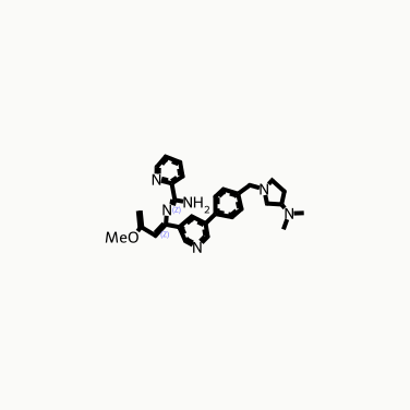 C=C(/C=C(\N=C(/N)c1ccccn1)c1cncc(-c2ccc(CN3CCC(N(C)C)C3)cc2)c1)OC